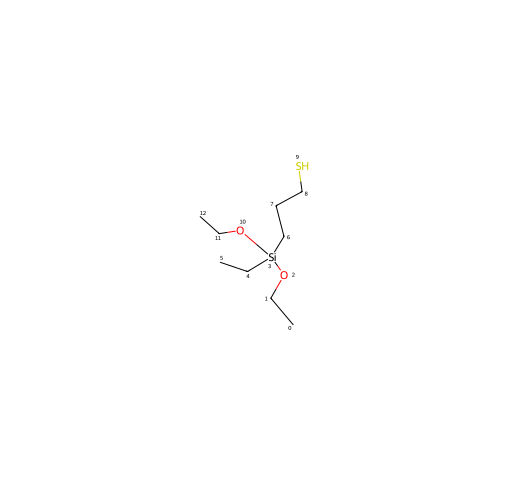 CCO[Si](CC)(CCCS)OCC